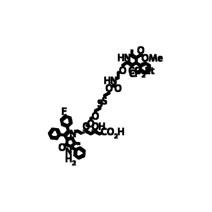 CCOC(=O)C1=C(COCCNC(=O)OCCSSCCOCOO[C@@H](CCn2c(-c3ccc(F)cc3)c(-c3ccccc3)c3c2C(C)C(N)(c2ccccc2)C3=O)C[C@H](O)CC(=O)O)NC(C)=C(C(=O)OC)C1c1ccccc1Cl